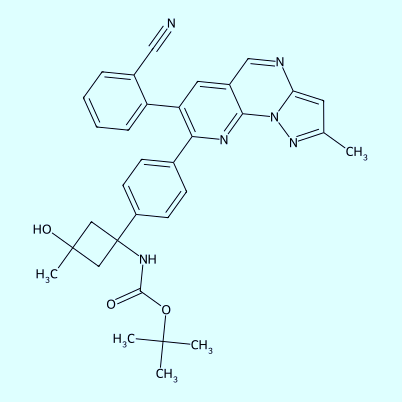 Cc1cc2ncc3cc(-c4ccccc4C#N)c(-c4ccc(C5(NC(=O)OC(C)(C)C)CC(C)(O)C5)cc4)nc3n2n1